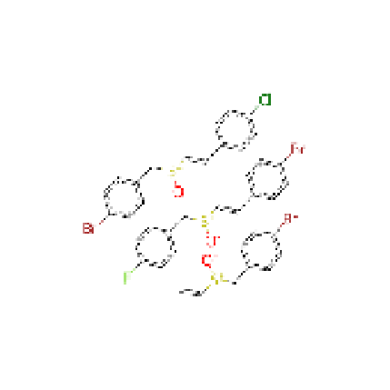 C=C[S+]([O-])Cc1ccc(Br)cc1.[O-][S+](C=Cc1ccc(Br)cc1)Cc1ccc(F)cc1.[O-][S+](C=Cc1ccc(Cl)cc1)Cc1ccc(Br)cc1